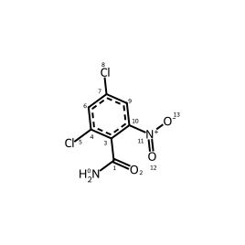 NC(=O)c1c(Cl)cc(Cl)cc1[N+](=O)[O-]